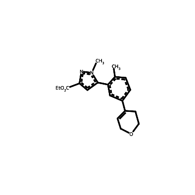 CCOC(=O)c1cc(-c2cc(C3=CCOCC3)ccc2C)n(C)n1